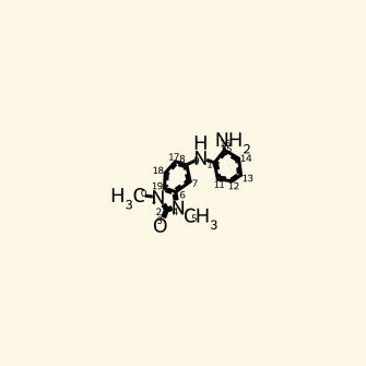 Cn1c(=O)n(C)c2cc(Nc3ccccc3N)ccc21